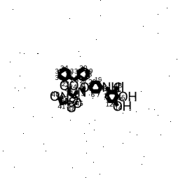 CC1(/C=N/Oc2ccc(Nc3ccc(O)c(O)c3Cl)cc2)C(C(=O)OC(c2ccccc2)c2ccccc2)N2C(=O)CC2S1(=O)=O